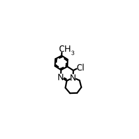 Cc1ccc2c(c1)C(Cl)N1CCCCCC1=N2